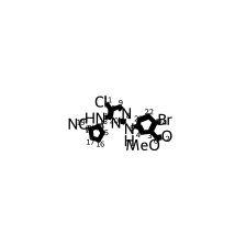 COC(=O)c1cc(Nc2ncc(Cl)c(N[C@@H]3CCC[C@H]3C#N)n2)ccc1Br